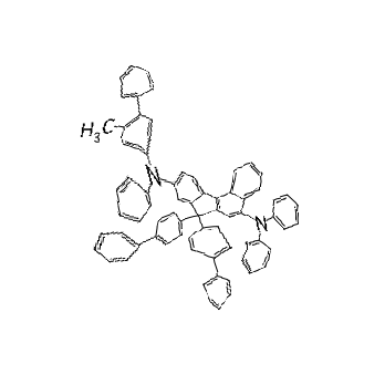 Cc1cc(N(c2ccccc2)c2ccc3c(c2)C(c2ccc(-c4ccccc4)cc2)(c2ccc(-c4ccccc4)cc2)c2cc(N(c4ccccc4)c4ccccc4)c4ccccc4c2-3)ccc1-c1ccccc1